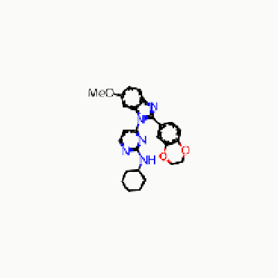 COc1ccc2nc(-c3ccc4c(c3)OCCO4)n(-c3ccnc(NC4CCCCC4)n3)c2c1